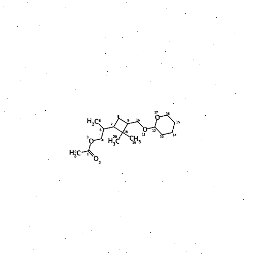 CC(=O)OCC(C)C1CC(COC2CCCCO2)C1(C)C